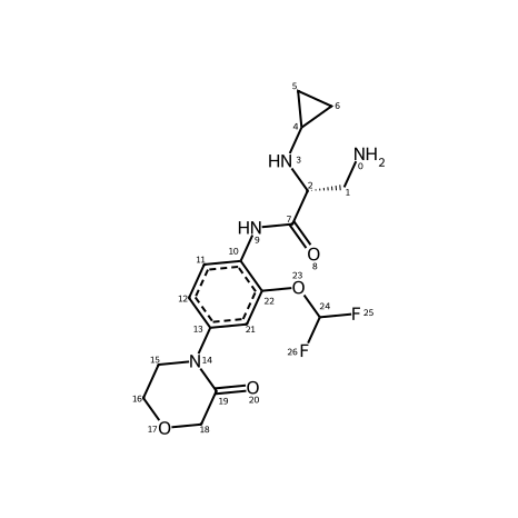 NC[C@@H](NC1CC1)C(=O)Nc1ccc(N2CCOCC2=O)cc1OC(F)F